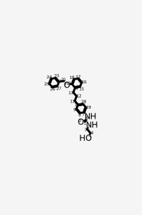 O=C(NCCO)Nc1ccc(CCCc2ccccc2OCc2ccccc2)cc1